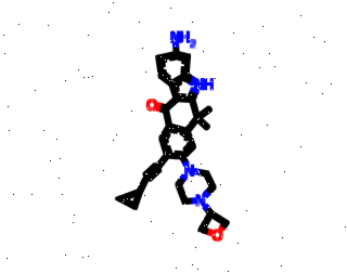 CC1(C)c2cc(N3CCN(C4COC4)CC3)c(C#CC3CC3)cc2C(=O)c2c1[nH]c1cc(N)ccc21